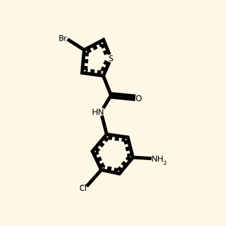 Nc1cc(Cl)cc(NC(=O)c2cc(Br)cs2)c1